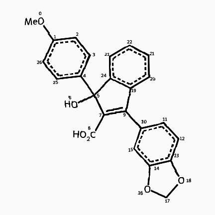 COc1ccc(C2(O)C(C(=O)O)=C(c3ccc4c(c3)OCO4)c3ccccc32)cc1